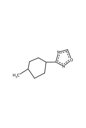 CC1CCC(c2ncon2)CC1